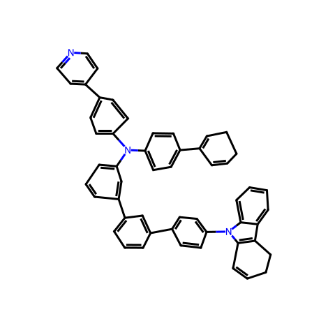 C1=CC(c2ccc(N(c3ccc(-c4ccncc4)cc3)c3cccc(-c4cccc(-c5ccc(-n6c7c(c8ccccc86)CCC=C7)cc5)c4)c3)cc2)=CCC1